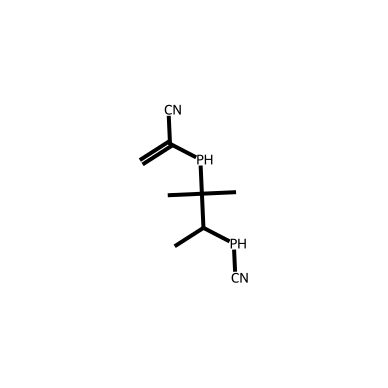 C=C(C#N)PC(C)(C)C(C)PC#N